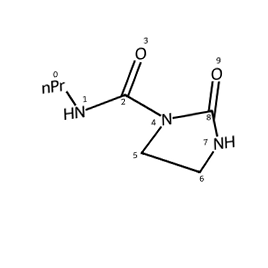 CCCNC(=O)N1CCNC1=O